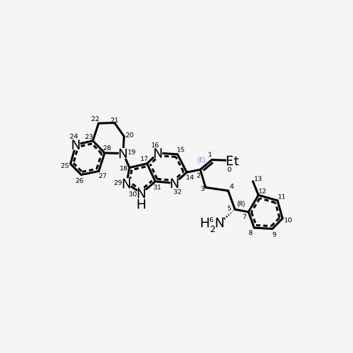 CC/C=C(\CC[C@@H](N)c1ccccc1C)c1cnc2c(N3CCCc4ncccc43)n[nH]c2n1